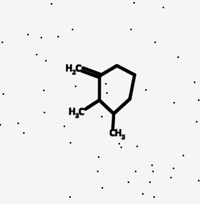 C=C1CCCC(C)C1C